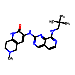 CN1CCc2[nH]c(=O)c(Nc3ncc4ccnc(NCC(C)(C)C)c4n3)cc2C1